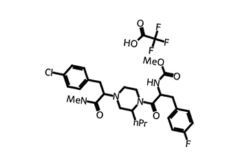 CCCC1CN(C(Cc2ccc(Cl)cc2)C(=O)NC)CCN1C(=O)C(Cc1ccc(F)cc1)NC(=O)OC.O=C(O)C(F)(F)F